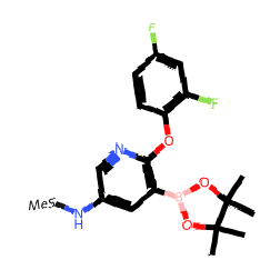 CSNc1cnc(Oc2ccc(F)cc2F)c(B2OC(C)(C)C(C)(C)O2)c1